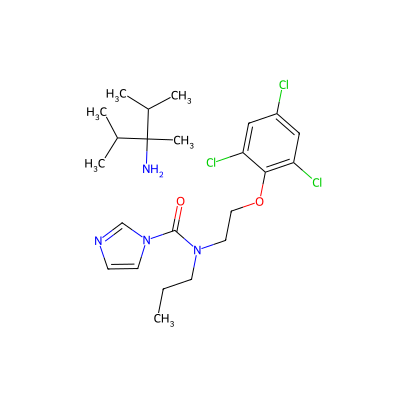 CC(C)C(C)(N)C(C)C.CCCN(CCOc1c(Cl)cc(Cl)cc1Cl)C(=O)n1ccnc1